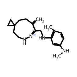 C=C1CCC2(CCN/N=C\1CNc1cc(NC)ccc1C)CC2